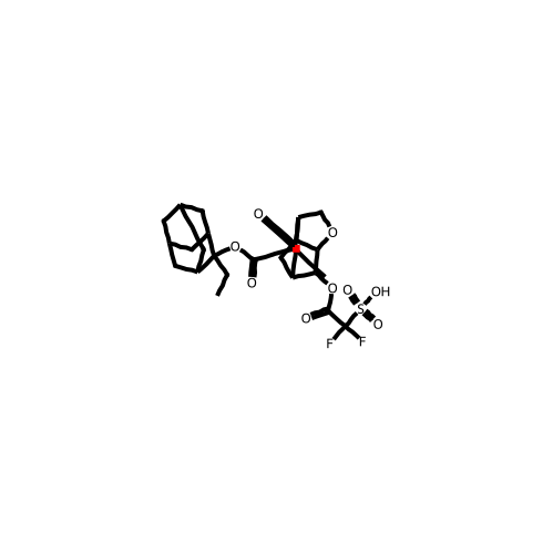 CCC1(OC(=O)C2C(=O)C3COC4C3CC2C4OC(=O)C(F)(F)S(=O)(=O)O)C2CC3CC(C2)CC1C3